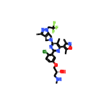 CNC[C@@H](O)COc1ccc(Cl)c(-c2nc(-c3c(C)noc3C)c(C)c(N3Cc4c(C)nn(CC(F)(F)F)c4C3)n2)c1